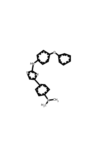 CN(C)c1ccc(-c2csc(Nc3ccc(Oc4ccccc4)cc3)n2)cc1